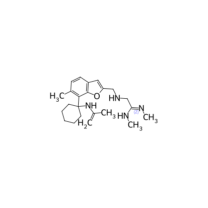 C=C(C)NC1(c2c(C)ccc3cc(CNC/C(=N/C)NC)oc23)CCCCC1